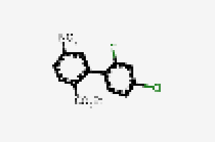 CCOC(=O)c1ccc([N+](=O)[O-])cc1-c1ccc(Cl)cc1Cl